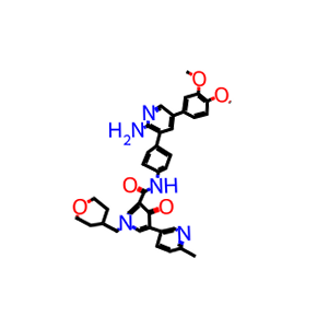 COc1ccc(-c2cnc(N)c(-c3ccc(NC(=O)c4cn(CC5CCOCC5)cc(-c5ccc(C)nc5)c4=O)cc3)c2)cc1OC